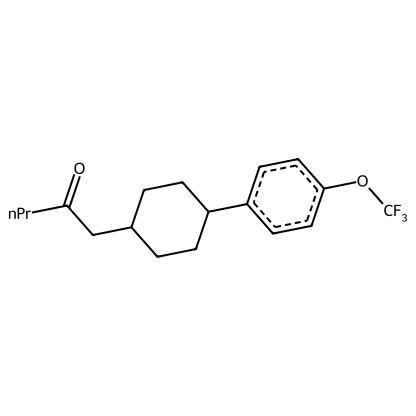 CCCC(=O)CC1CCC(c2ccc(OC(F)(F)F)cc2)CC1